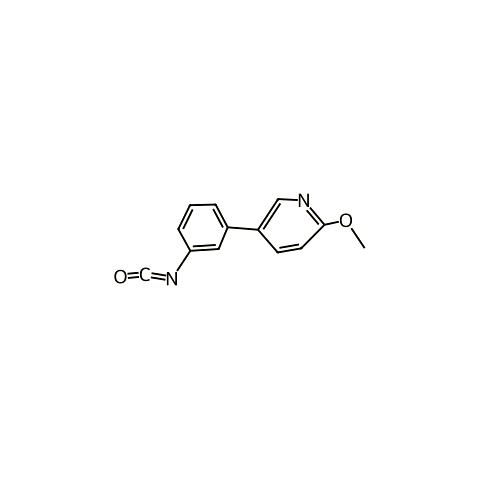 COc1ccc(-c2cccc(N=C=O)c2)cn1